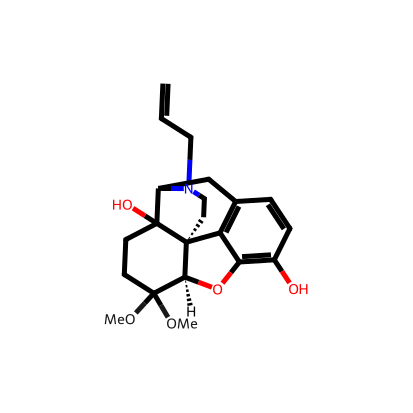 C=CCN1CC[C@]23c4c5ccc(O)c4O[C@H]2C(OC)(OC)CCC3(O)C1C5